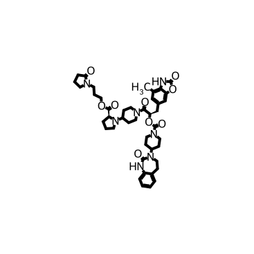 Cc1cc(C[C@@H](OC(=O)N2CCC(N3CCc4ccccc4NC3=O)CC2)C(=O)N2CCC(N3CCC[C@H]3C(=O)OCCCN3CCCC3=O)CC2)cc2oc(=O)[nH]c12